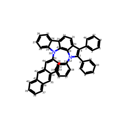 c1ccc(-c2c(-c3ccccc3)n(-c3ccccc3)c3c2ccc2c4ccccc4n(-c4ccc5cc6ccccc6cc5c4)c23)cc1